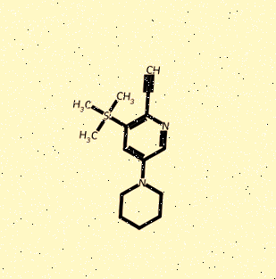 C#Cc1ncc(N2CCCCC2)cc1[Si](C)(C)C